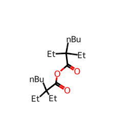 CCCCC(CC)(CC)C(=O)OC(=O)C(CC)(CC)CCCC